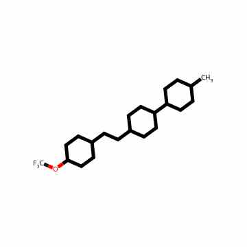 CC1CCC(C2CCC(CCC3CCC(OC(F)(F)F)CC3)CC2)CC1